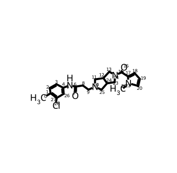 Cc1ccc(NC(=O)CCN2CC3CN(C(=O)c4cccn4C)CC3C2)cc1Cl